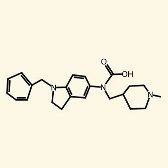 CN1CCC(CN(C(=O)O)c2ccc3c(c2)CCN3Cc2ccccc2)CC1